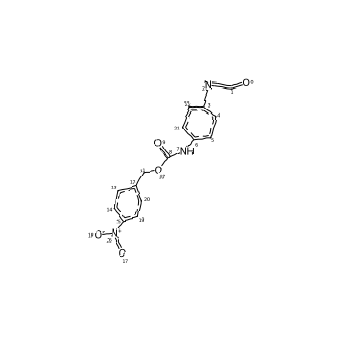 O=C=Nc1ccc(NC(=O)OCc2ccc([N+](=O)[O-])cc2)cc1